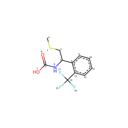 CSCC(NC(=O)O)c1ccccc1C(F)(F)F